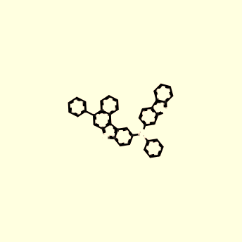 c1ccc(-c2cc3oc4ccc(N(c5ccccc5)c5ccc6c(c5)sc5ccccc56)cc4c3c3ccccc23)cc1